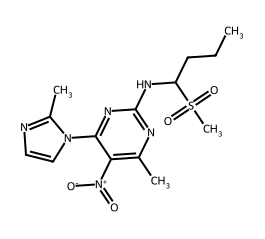 CCCC(Nc1nc(C)c([N+](=O)[O-])c(-n2ccnc2C)n1)S(C)(=O)=O